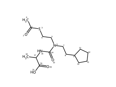 CC(=O)SCCN(CCC1CCCC1)C(=O)NC(C)C(=O)O